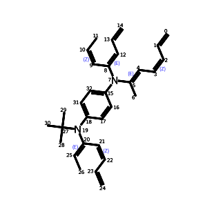 C=C/C=C\C=C(/C)N(C(/C=C\C)=C/C=C)c1ccc(N(C(/C=C\C=C)=C/C)C(C)(C)C)cc1